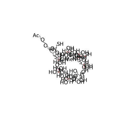 CN[C@H](CSCC1O[C@@H]2O[C@@H]3C(CO)O[C@H](O[C@@H]4C(CO)O[C@H](O[C@@H]5C(CO)O[C@H](O[C@@H]6C(CSC[C@@H](CC(=O)CCOCCOCCC(C)=O)C(=O)NCCS)O[C@H](O[C@H]7C(CO)O[C@@H](O[C@@H]8C(CO)O[C@H](O[C@H]1[C@H](O)C2O)C(O)[C@H]8O)C(O)[C@H]7O)C(O)[C@H]6O)C(O)[C@H]5O)C(O)[C@H]4O)C(O)[C@H]3O)C(=O)NCCS